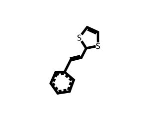 C1=CSC(C=Cc2ccccc2)S1